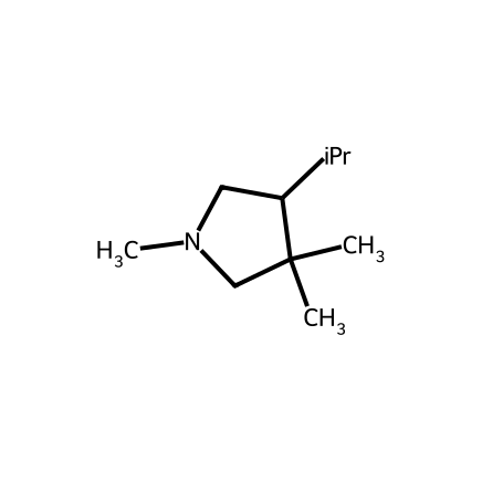 CC(C)C1CN(C)CC1(C)C